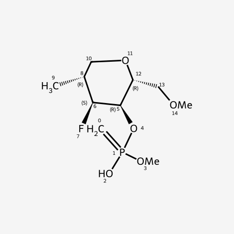 C=P(O)(OC)O[C@H]1[C@@H](F)[C@H](C)CO[C@@H]1COC